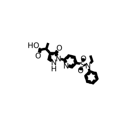 CCN(c1ccccc1)S(=O)(=O)c1ccc(-n2[nH]cc(C(C)C(=O)O)c2=O)nc1